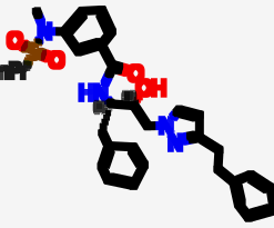 CCCS(=O)(=O)N(C)c1cccc(C(=O)N[C@@H](Cc2ccccc2)[C@H](O)Cn2ccc(CCc3ccccc3)n2)c1